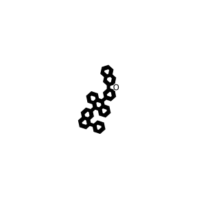 c1ccc(-c2cccc3ccc(-c4c5ccccc5c(-c5ccc6oc7cc8ccccc8cc7c6c5)c5ccccc45)cc23)cc1